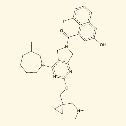 CC1CCCCN(c2nc(OCC3(CN(C)C)CC3)nc3c2CN(C(=O)c2cc(O)cc4cccc(I)c24)C3)C1